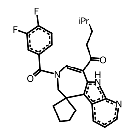 CC(C)CCC(=O)C1=CN(C(=O)c2ccc(F)c(F)c2)CC2(CCCC2)c2c1[nH]c1ncccc21